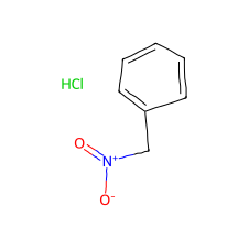 Cl.O=[N+]([O-])Cc1ccccc1